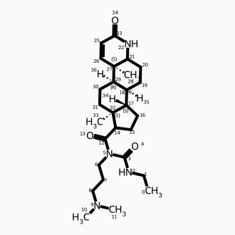 CCNC(=O)N(CCCN(C)C)C(=O)C1CC[C@H]2[C@@H]3CCC4NC(=O)C=C[C@]4(C)[C@@H]3CC[C@]12C